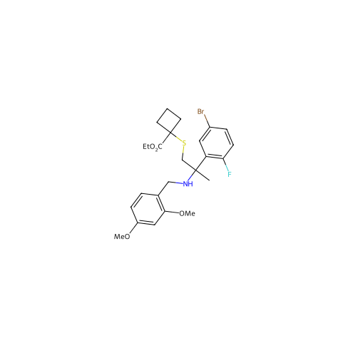 CCOC(=O)C1(SCC(C)(NCc2ccc(OC)cc2OC)c2cc(Br)ccc2F)CCC1